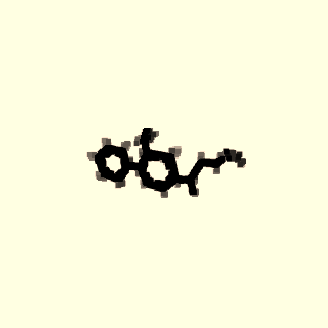 CC(CCN)c1ccc(-c2ccccc2)c(Br)c1